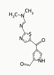 CN(C)C=Nc1ncc(C(=O)c2c[nH]c(C=O)c2)s1